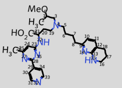 COC(C)CN(CCCCc1ccc2c(n1)NCCC2)CCC(Nc1cc(C)nc(-c2ccncc2)n1)C(=O)O